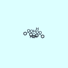 O=C(c1ccccc1)c1ccc(O)c(Cc2c(O)ccc(C(=O)c3ccccc3)c2O)c1O